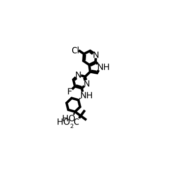 CC(C)(C(=O)O)[C@]1(O)CCC[C@H](Nc2nc(-c3c[nH]c4ncc(Cl)cc34)ncc2F)C1